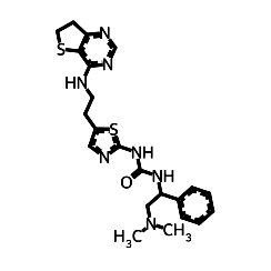 CN(C)CC(NC(=O)Nc1ncc(CCNc2ncnc3c2SCC3)s1)c1ccccc1